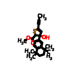 CC#CC1=CC(O)(c2ccc3c(c2)C(C)(C)CCC3(C)C)C(C(=O)OC)S1